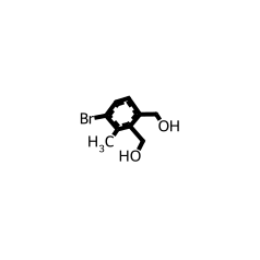 Cc1c(Br)ccc(CO)c1CO